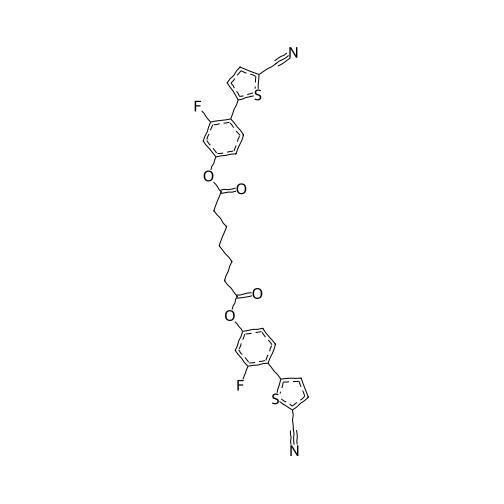 N#Cc1ccc(-c2ccc(OC(=O)CCCCCC(=O)Oc3ccc(-c4ccc(C#N)s4)c(F)c3)cc2F)s1